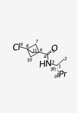 CC(C)[C@@H](C)NC(=O)C12CC(Cl)(C1)C2